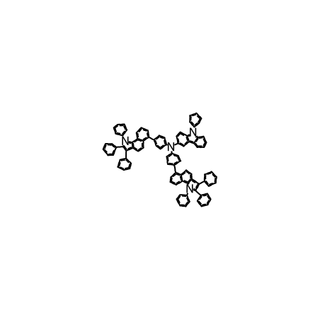 c1ccc(-c2c(-c3ccccc3)n(-c3ccccc3)c3c2ccc2c(-c4ccc(N(c5ccc(-c6cccc7c6ccc6c(-c8ccccc8)c(-c8ccccc8)n(-c8ccccc8)c67)cc5)c5ccc6c(c5)c5ccccc5n6-c5ccccc5)cc4)cccc23)cc1